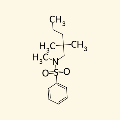 CCCC(C)(C)CN(C)S(=O)(=O)c1ccccc1